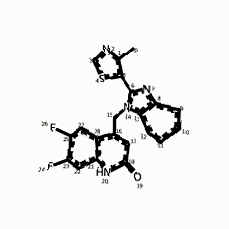 Cc1ncsc1-c1nc2ccccc2n1Cc1cc(=O)[nH]c2cc(F)c(F)cc12